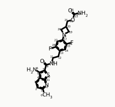 Cc1ccc2c(N)c(C(=O)NCCc3cc(F)c(N4CC(COC(N)=O)C4)cc3F)sc2n1